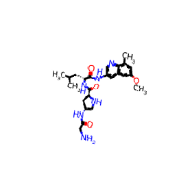 COc1cc(C)c2ncc(NC(=O)[C@@H](CC(C)C)NC(=O)[C@@H]3C[C@@H](NC(=O)CN)CN3)cc2c1